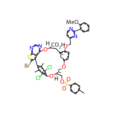 COc1ccccc1-c1nccc(COc2ccc3cc2C[C@H](C(=O)O)Oc2ncnc4sc(Br)c(c24)-c2c(C)c(Cl)c(c(Cl)c2C)O[C@H](COS(=O)(=O)c2ccc(C)cc2)CO3)n1